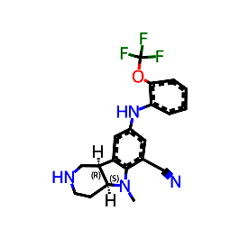 CN1c2c(C#N)cc(Nc3ccccc3OC(F)(F)F)cc2[C@@H]2CNCC[C@@H]21